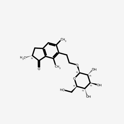 Cc1cc2c(c(C)c1CCO[C@@H]1O[C@H](CO)[C@@H](O)[C@H](O)[C@H]1O)C(=O)[C@H](C)C2